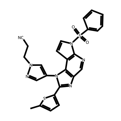 Cc1ccc(-c2nc3cnc4c(ccn4S(=O)(=O)c4ccccc4)c3n2-c2cnn(CCC#N)c2)s1